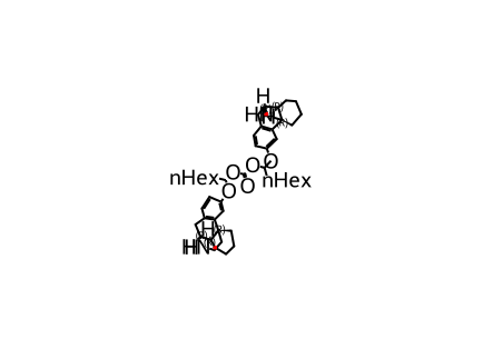 CCCCCCC(OC(=O)OC(CCCCCC)Oc1ccc2c(c1)[C@@]13CCCC[C@H]1[C@@H](C2)NCC3)Oc1ccc2c(c1)[C@@]13CCCC[C@H]1[C@@H](C2)NCC3